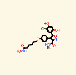 CCNC(=O)c1noc(-c2cc(Cl)c(O)cc2O)c1C1=CC=C(OCCCCCC(=O)NO)CC1